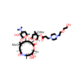 CC[C@H]1OC(=O)[C@H](C)[C@@H](O[C@H]2C[C@@](C)(OC)[C@@H](OC(=O)CCN3CCN(CCOCCO)CC3)[C@H](C)O2)[C@H](C)[C@@H](O[C@@H]2O[C@H](C)C[C@H](N(C)C)[C@H]2O)[C@](C)(OC)C[C@@H](C)C(=O)N[C@H](C)[C@@H](O)[C@]1(C)O